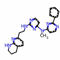 CN(c1ccnc(NCCc2ccc3c(n2)NCCC3)n1)c1ccnc(-c2ccccc2)n1